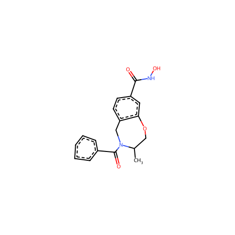 CC1COc2cc(C(=O)NO)ccc2CN1C(=O)c1ccccc1